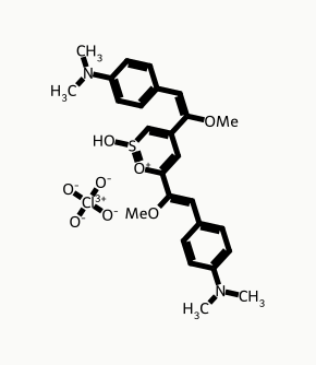 COC(=Cc1ccc(N(C)C)cc1)C1=CS(O)=[O+]C(C(=Cc2ccc(N(C)C)cc2)OC)=C1.[O-][Cl+3]([O-])([O-])[O-]